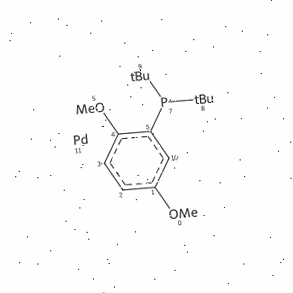 COc1ccc(OC)c(P(C(C)(C)C)C(C)(C)C)c1.[Pd]